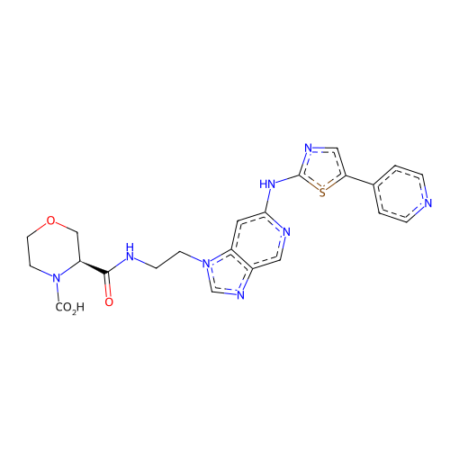 O=C(NCCn1cnc2cnc(Nc3ncc(-c4ccncc4)s3)cc21)[C@@H]1COCCN1C(=O)O